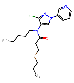 O=C(CCSCCC(F)(F)F)N(CCCCC(F)(F)F)c1cn(-c2cccnc2)nc1Cl